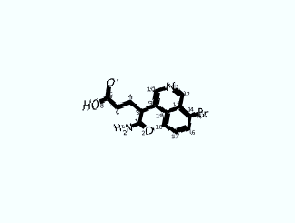 NC(=O)C(CCC(=O)O)c1cncc2c(Br)cccc12